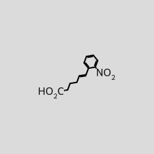 O=C(O)CCCC=Cc1ccccc1[N+](=O)[O-]